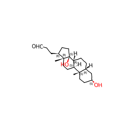 C[C@]12CC[C@H](O)C[C@H]1CC[C@@H]1[C@@H]2CC[C@]2(C)[C@@H](CCC=O)CC[C@]12O